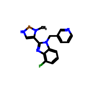 CN1SNC=C1c1nc2c(F)cccc2n1Cc1cccnc1